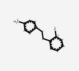 Cc1ccc(CCc2ccccc2F)cc1